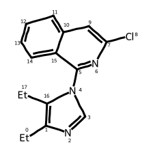 CCc1ncn(-c2nc(Cl)cc3ccccc23)c1CC